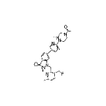 CC(=O)N1CCN(c2ncc(-c3ccc4c(=O)n(C)n(Cc5nc(C)ccc5CF)c4c3)cn2)[C@H](C)C1